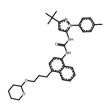 Cc1ccc(-n2nc(C(C)(C)C)cc2NC(=O)Nc2ccc(CCCOC3CCCCO3)c3ccccc23)cc1